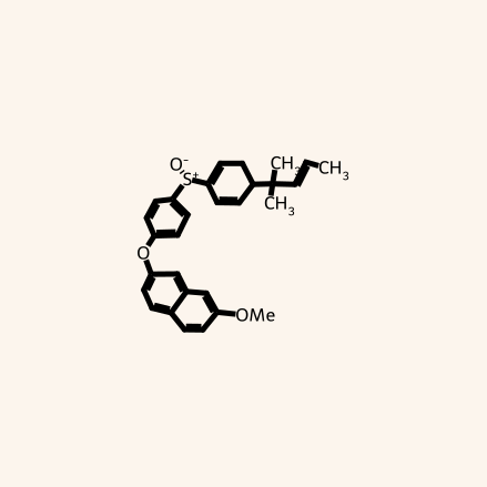 CC=CC(C)(C)C1C=CC([S+]([O-])c2ccc(Oc3ccc4ccc(OC)cc4c3)cc2)=CC1